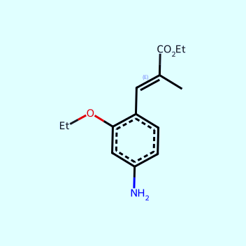 CCOC(=O)/C(C)=C/c1ccc(N)cc1OCC